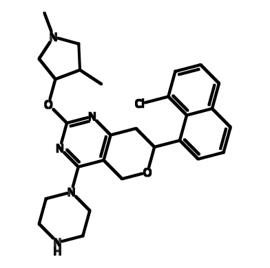 CC1CN(C)CC1Oc1nc2c(c(N3CCNCC3)n1)COC(c1cccc3cccc(Cl)c13)C2